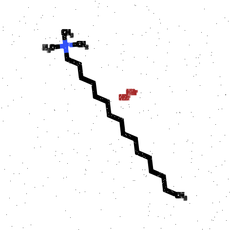 Br.Br.CCCCCCCCCCCCCCCC[N+](C)(C)C